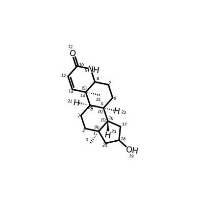 C[C@]12CC[C@@H]3[C@@H](CCC4NC(=O)C=C[C@@]43C)[C@@H]1CC(O)C2